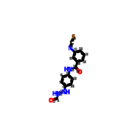 O=CNNc1ccc(NC(=O)c2cccc(N=C=S)c2)cc1